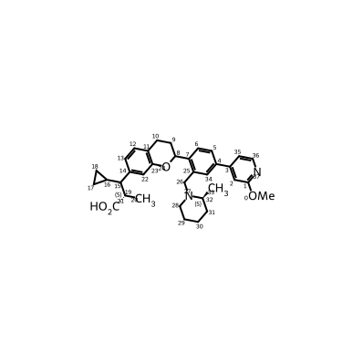 COc1cc(-c2ccc(C3CCc4ccc(C(C5CC5)[C@H](C)C(=O)O)cc4O3)c(CN3CCCC[C@@H]3C)c2)ccn1